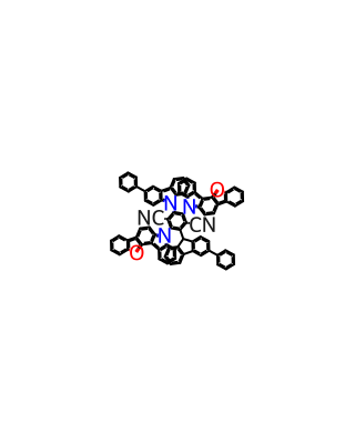 N#Cc1c(-n2c3ccccc3c3cc(-c4ccccc4)ccc32)c(-n2c3ccccc3c3c4oc5ccccc5c4ccc32)c(C#N)c(C2c3ccccc3-c3cc(-c4ccccc4)ccc32)c1-n1c2ccccc2c2c3oc4ccccc4c3ccc21